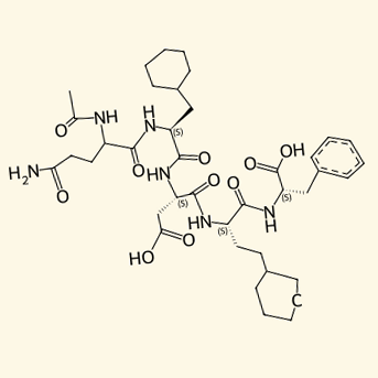 CC(=O)NC(CCC(N)=O)C(=O)N[C@@H](CC1CCCCC1)C(=O)N[C@@H](CC(=O)O)C(=O)N[C@@H](CCC1CCCCC1)C(=O)N[C@@H](Cc1ccccc1)C(=O)O